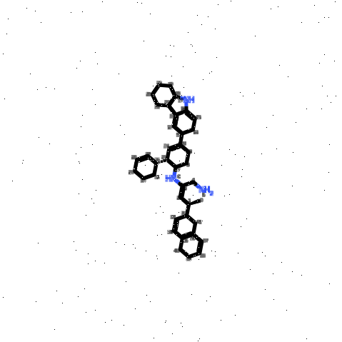 C[C@H](/C=C(\CN)NC1CCC(C2C=C3C(=CC2)NC2CCCCC32)=CC1[C@H]1C=CCCC1)C1C=CC2=C(C=CCC2)C1